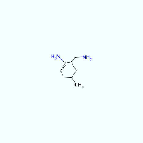 CC1CC=C(N)C(CN)C1